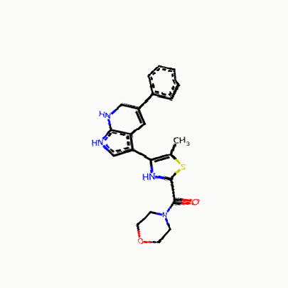 CC1=C(c2c[nH]c3c2C=C(c2ccccc2)CN3)NC(C(=O)N2CCOCC2)S1